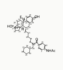 CC(=O)Nc1ccc(C(=O)N(CCCCC[C@@H]2Cc3cc(O)ccc3[C@@H]3[C@@H]2[C@@H]2CC[C@H](O)[C@@]2(C)C[C@@H]3F)CC2CCCCC2)cc1